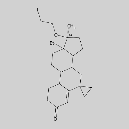 CCC12CCC3C4CCC(=O)C=C4C4(CC4)CC3C1CC[C@]2(C)OCCI